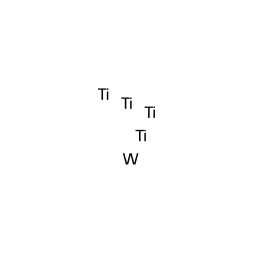 [Ti].[Ti].[Ti].[Ti].[W]